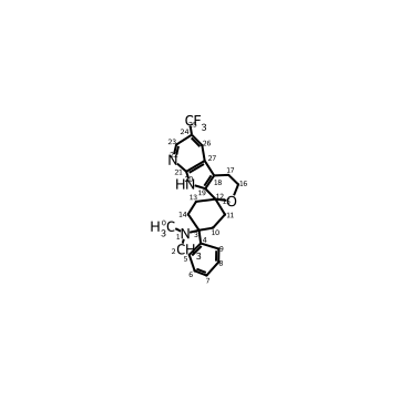 CN(C)C1(c2ccccc2)CCC2(CC1)OCCc1c2[nH]c2ncc(C(F)(F)F)cc12